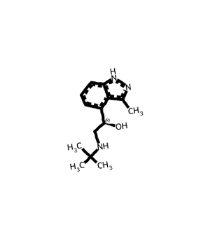 Cc1n[nH]c2cccc([C@@H](O)CNC(C)(C)C)c12